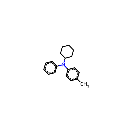 Cc1ccc(N(c2ccccc2)C2CCCCC2)cc1